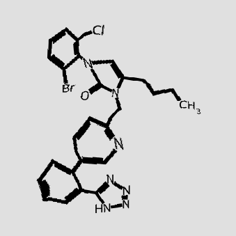 CCCCc1cn(-c2c(Cl)cccc2Br)c(=O)n1Cc1ccc(-c2ccccc2-c2nnn[nH]2)cn1